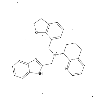 c1cnc2c(c1)CCCC2N(Cc1nc2ccccc2[nH]1)Cc1cccc2c1OCC2